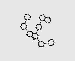 c1ccc(-c2cccc(-c3ccc4nc(-c5cccc(-c6ccccc6)c5)cc(-c5ccc(-c6ccnc7ccccc67)cc5)c4c3)c2)cc1